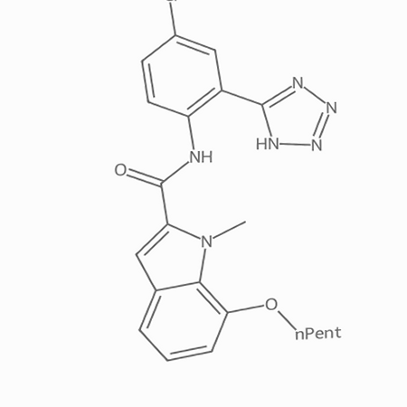 CCCCCOc1cccc2cc(C(=O)Nc3ccc(Cl)cc3-c3nnn[nH]3)n(C)c12